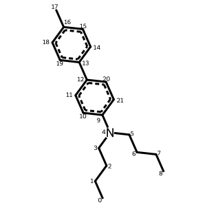 CCCCN(CCCC)c1ccc(-c2ccc(C)cc2)cc1